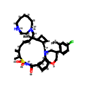 CCCc1cc(Cl)ccc1C1COc2ccc3cc2N(C1)CC1CCC1C(CN1CCCCCCNCC1)(OC)/C=C/CC(C)C(C)S(=O)(=O)NC3=O